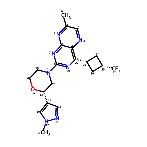 Cc1cnc2c(n1)nc(N1CCO[C@@H](c3cnn(C)c3)C1)nc2[C@H]1C[C@@H](C(F)(F)F)C1